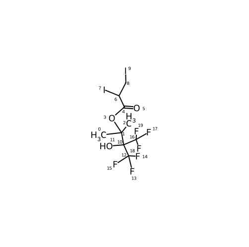 CC(C)(OC(=O)C(I)CI)C(O)(C(F)(F)F)C(F)(F)F